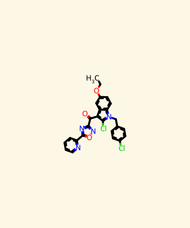 CCOc1ccc2c(c1)c(C(=O)c1noc(-c3ccccn3)n1)c(Cl)n2Cc1ccc(Cl)cc1